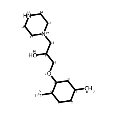 CC1CCC(C(C)C)C(OCC(O)CN2CCNCC2)C1